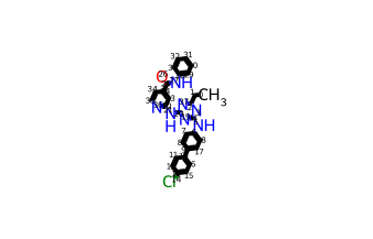 CCc1nc(Nc2ccc(-c3ccc(Cl)cc3)cc2)nc(Nc2cc(C(=O)Nc3ccccc3)ccn2)n1